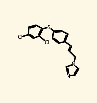 Clc1ccc(Sc2ccc(C=CCn3ccnc3)cc2)c(Cl)c1